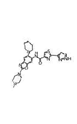 CN1CCN(c2nc3cc(N4CCCCC4)c(NC(=O)c4csc(-c5cc[nH]n5)n4)cc3o2)CC1